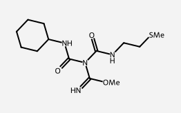 COC(=N)N(C(=O)NCCSC)C(=O)NC1CCCCC1